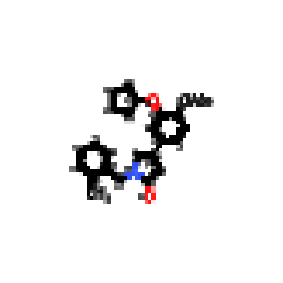 COc1ccc([C@H]2CC(=O)N(Cc3ccccc3C)C2)cc1OC1CCCC1